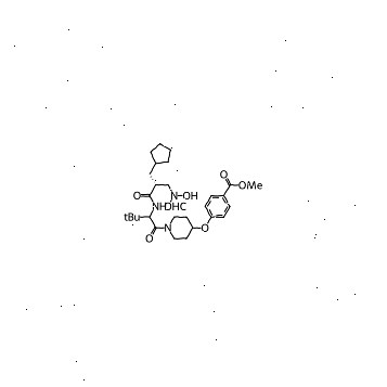 COC(=O)c1ccc(OC2CCN(C(=O)C(NC(=O)[C@H](CC3CCCC3)CN(O)C=O)C(C)(C)C)CC2)cc1